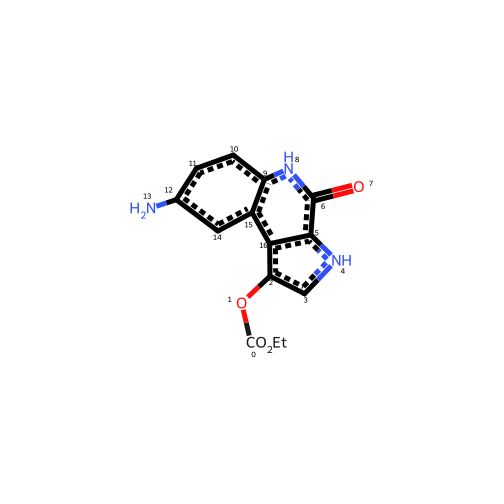 CCOC(=O)Oc1c[nH]c2c(=O)[nH]c3ccc(N)cc3c12